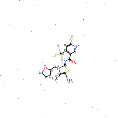 Cc1s/c(=N\C(=O)c2cnc(Cl)cc2C(F)(F)F)n(CC2CCCO2)c1C